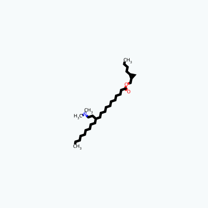 CCCCCCCCCC(CCCCCCCCCCC(=O)OCC1CC1CCCC)CCN(C)C